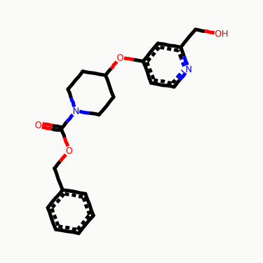 O=C(OCc1ccccc1)N1CCC(Oc2ccnc(CO)c2)CC1